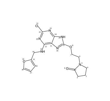 O=C1CCCN1CCOc1nc2c(NCc3ccco3)nc(Cl)nc2[nH]1